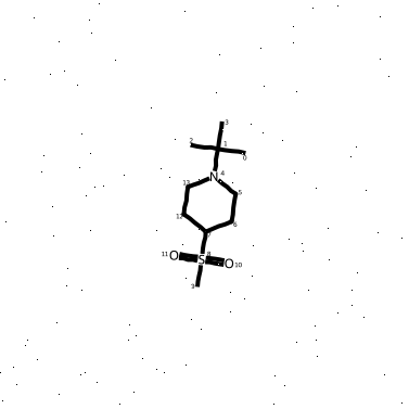 CC(C)(C)N1CCC(S(C)(=O)=O)CC1